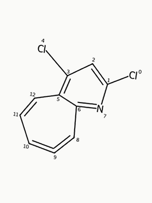 Clc1cc(Cl)c2c(n1)C=C=CC=C2